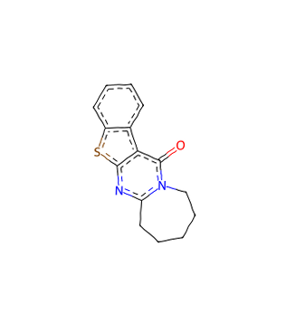 O=c1c2c(nc3n1CCCCC3)sc1ccccc12